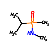 CNP(C)(=O)C(C)C